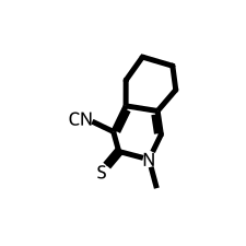 [C-]#[N+]c1c2c(cn(C)c1=S)CCCC2